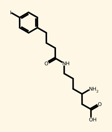 NC(CCCNC(=O)CCCc1ccc(I)cc1)CC(=O)O